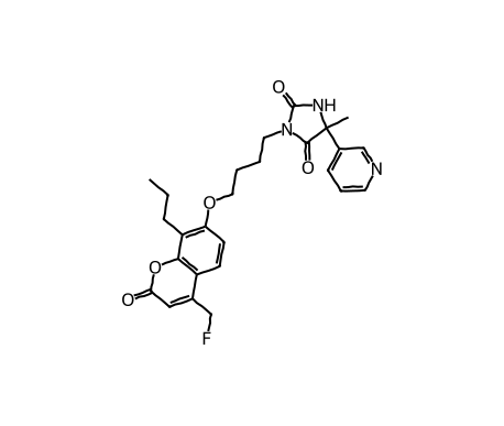 CCCc1c(OCCCCN2C(=O)NC(C)(c3cccnc3)C2=O)ccc2c(CF)cc(=O)oc12